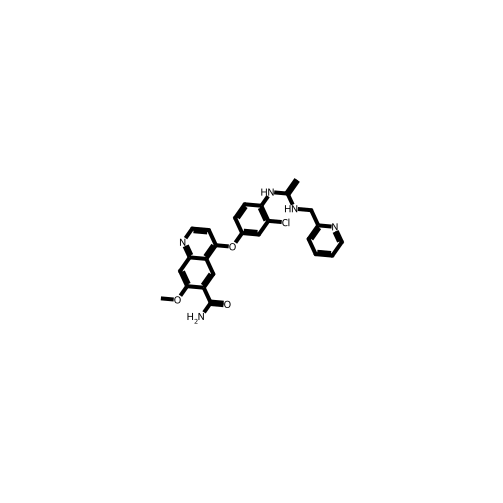 C=C(NCc1ccccn1)Nc1ccc(Oc2ccnc3cc(OC)c(C(N)=O)cc23)cc1Cl